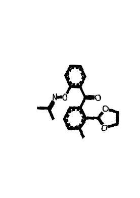 CC(C)=NOc1ccccc1C(=O)c1cccc(C)c1C1OCCO1